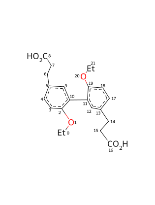 CCOc1ccc(CCC(=O)O)cc1-c1cc(CCC(=O)O)ccc1OCC